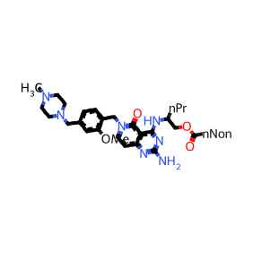 CCCCCCCCCC(=O)OCC(CCC)Nc1nc(N)nc2ccn(Cc3ccc(CN4CCN(C)CC4)cc3OC)c(=O)c12